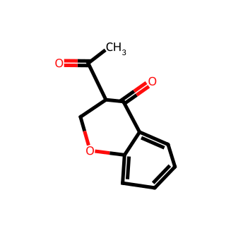 CC(=O)C1COc2ccccc2C1=O